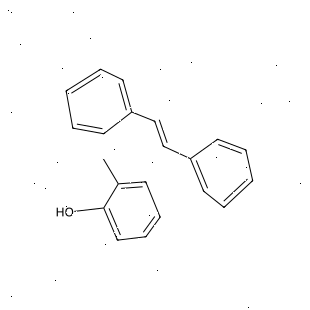 C(=Cc1ccccc1)c1ccccc1.Cc1ccccc1O